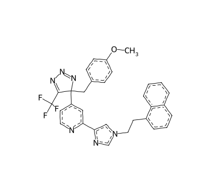 COc1ccc(CC2(c3ccnc(-c4cn(CCc5cccc6ccccc56)cn4)c3)N=NN=C2C(F)(F)F)cc1